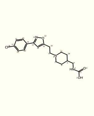 O=C(O)NCC1CCN(CCc2cc(-c3ccc(Cl)cc3)no2)CC1